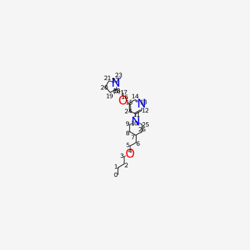 CCCCOCCC1CCN(c2cncc(OC[C@@H]3CCCN3C)c2)CC1